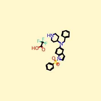 O=C(O)C(F)(F)F.O=S(=O)(c1ccccc1)n1ccc2cc(N(Cc3ccccc3)C3CCNCC3)ccc21